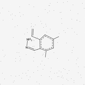 C=Cc1cc(C)cc(C)c1/C=N\N